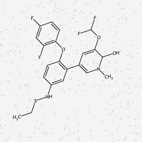 CCSNc1ccc(Oc2ccc(F)cc2F)c(C2=CN(C)C(O)C(OC(F)F)=C2)c1